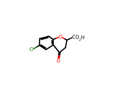 O=C1CC(C(=O)O)Oc2ccc(Cl)cc21